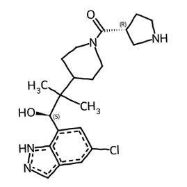 CC(C)(C1CCN(C(=O)[C@@H]2CCNC2)CC1)[C@H](O)c1cc(Cl)cc2cn[nH]c12